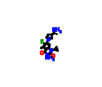 Cc1c(F)c(N2CC[C@H]([C@@H](C)N)C2)cc2c1c(=O)n(N)c(=O)n2C1CC1